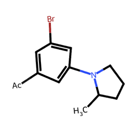 CC(=O)c1cc(Br)cc(N2CCCC2C)c1